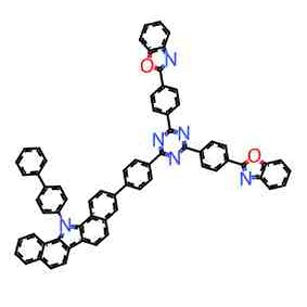 c1ccc(-c2ccc(-n3c4c5ccccc5ccc4c4ccc5cc(-c6ccc(-c7nc(-c8ccc(-c9nc%10ccccc%10o9)cc8)nc(-c8ccc(-c9nc%10ccccc%10o9)cc8)n7)cc6)ccc5c43)cc2)cc1